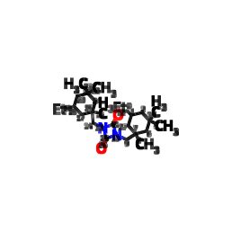 CCC1CC(C)(C)CC(C)(CN2C(=O)N(CC3(C)CC(CC)CC(C)(C)C3)C2=O)C1